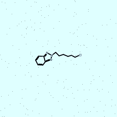 ClCCCCCCn1nc2ccccc2n1